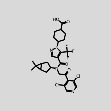 CC1(C)C2CC(N(CC(=O)c3c(Cl)cncc3Cl)C(=O)c3cnn(C4CCC(C(=O)O)CC4)c3C(F)(F)F)CC21